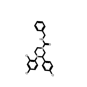 O=C(NCc1ccccc1)N1CCN(c2ccc(Cl)cc2Cl)C(c2ccc(Cl)cc2)C1